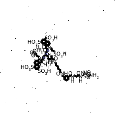 CC1(C)C(/C=C/C(=C/C=C2/N(CCCS(=O)(=O)O)c3ccc4c(S(=O)(=O)O)cc(S(=O)(=O)O)cc4c3C2(C)C)c2ccc(C(=O)NCCCCCC(=O)NCc3cccc(C(=O)NCCC(=O)Nc4nnc(S(N)(=O)=O)s4)c3)cn2)=[N+](CCCS(=O)(=O)[O-])c2ccc3c(S(=O)(=O)O)cc(S(=O)(=O)O)cc3c21